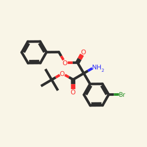 CC(C)(C)OC(=O)C(N)(C(=O)OCc1ccccc1)c1cccc(Br)c1